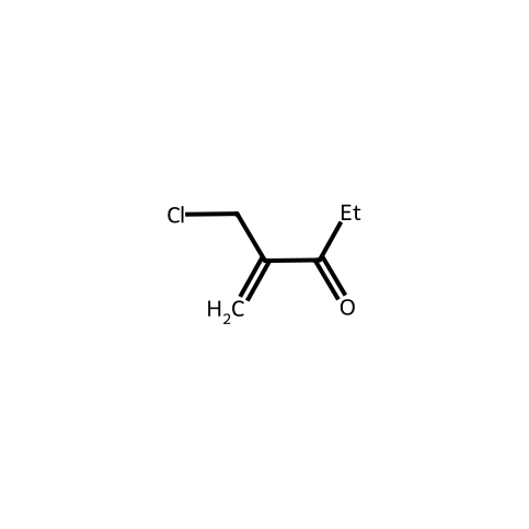 C=C(CCl)C(=O)CC